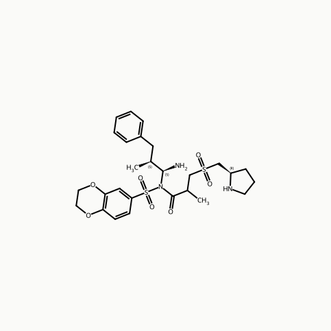 CC(CS(=O)(=O)C[C@H]1CCCN1)C(=O)N([C@H](N)[C@@H](C)Cc1ccccc1)S(=O)(=O)c1ccc2c(c1)OCCO2